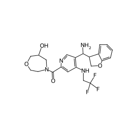 NC(c1cnc(C(=O)N2CCOCC(O)C2)cc1NCC(F)(F)F)C1COc2ccccc21